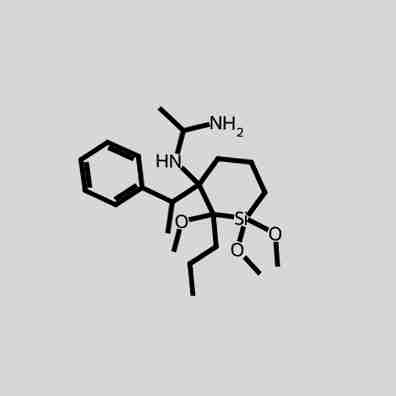 CCCC1(OC)C(NC(C)N)(C(C)c2ccccc2)CCC[Si]1(OC)OC